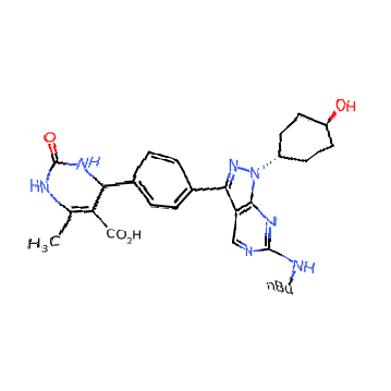 CCCCNc1ncc2c(-c3ccc(C4NC(=O)NC(C)=C4C(=O)O)cc3)nn([C@H]3CC[C@H](O)CC3)c2n1